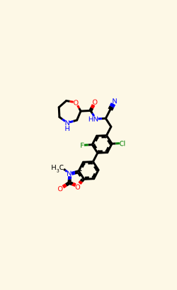 Cn1c(=O)oc2ccc(-c3cc(Cl)c(CC(C#N)NC(=O)C4CNCCCO4)cc3F)cc21